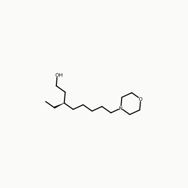 CC[C@@H](CCO)CCCCCN1CCOCC1